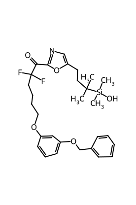 CC(C)(CCc1cnc(C(=O)C(F)(F)CCCCOc2cccc(OCc3ccccc3)c2)o1)[Si](C)(C)O